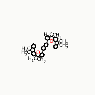 CC1(C)c2cccc(-c3ccc4cc(-c5cccc6c5Oc5c(ccc7c5-c5ccccc5C7(C)C)C6(C)C)ccc4c3)c2Oc2c1ccc1c2-c2ccccc2C1(C)C